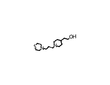 OCCC1CCN(CCCN2CCSCC2)CC1